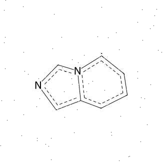 [c]1cccc2cncn12